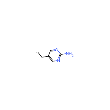 [CH2]Cc1cnc(N)nc1